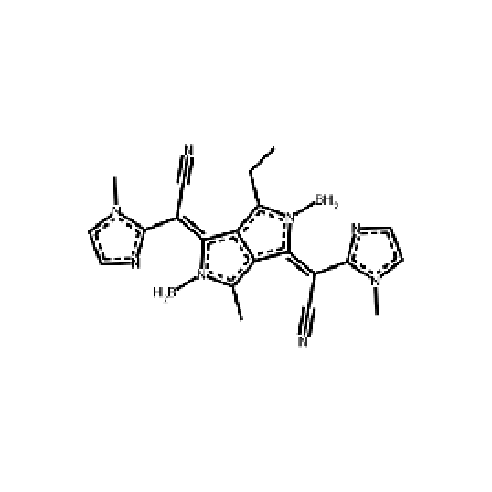 Bn1c(C)c2/c(=C(\C#N)c3nccn3C)n(B)c(CC)c2/c1=C(\C#N)c1nccn1C